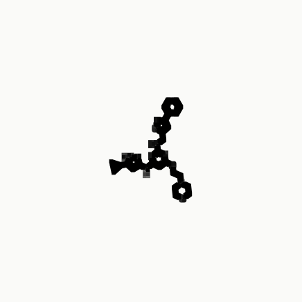 c1ccc(-c2cc(CNc3nc(Nc4cc(C5CC5)[nH]n4)cc(OCCN4CCOCC4)n3)on2)cc1